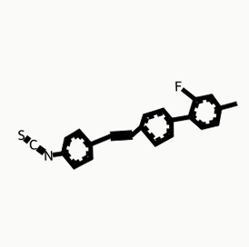 Cc1ccc(-c2ccc(C#Cc3ccc(N=C=S)cc3)cc2)c(F)c1